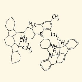 Cc1cc(C)c(B(C2CCC(C3C4CCCCC4C4CCC5C6CCCCC6C(C)(C)C5C43)NC2)C2CCC(n3c4ccccc4c4ccc5c(c43)C(C)(C)c3ccccc3-5)NC2)c(C)c1